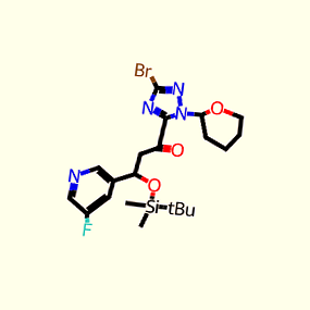 CC(C)(C)[Si](C)(C)OC(CC(=O)c1nc(Br)nn1C1CCCCO1)c1cncc(F)c1